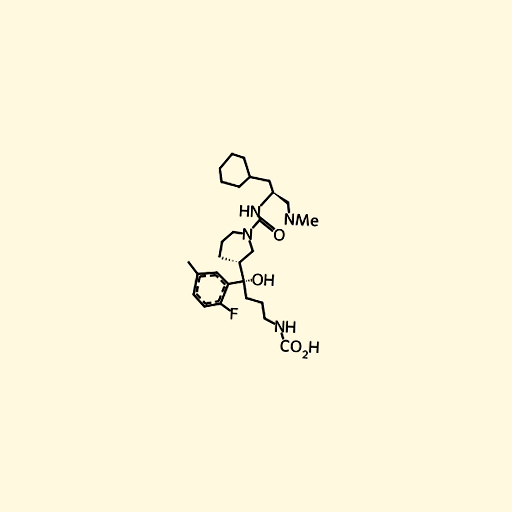 CNC[C@H](CC1CCCCC1)NC(=O)N1CCC[C@@H]([C@@](O)(CCCNC(=O)O)c2cc(C)ccc2F)C1